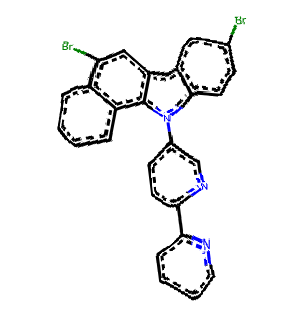 Brc1ccc2c(c1)c1cc(Br)c3ccccc3c1n2-c1ccc(-c2ccccn2)nc1